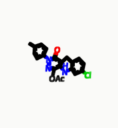 CC(=O)Oc1nn(-c2ccc(C)cc2)c(=O)c2c1Nc1cc(Cl)ccc1C2